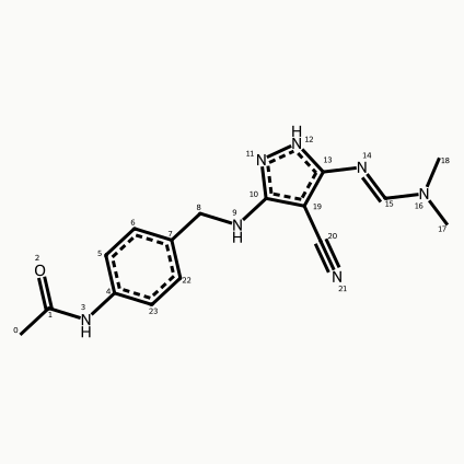 CC(=O)Nc1ccc(CNc2n[nH]c(N=CN(C)C)c2C#N)cc1